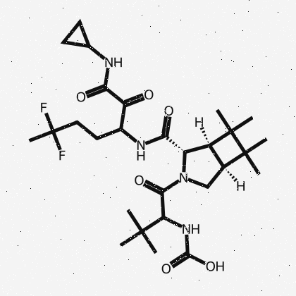 CC(F)(F)CCC(NC(=O)[C@@H]1[C@@H]2[C@H](CN1C(=O)C(NC(=O)O)C(C)(C)C)C(C)(C)C2(C)C)C(=O)C(=O)NC1CC1